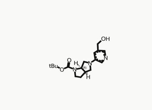 CC(C)(C)OC(=O)N1CC[C@@H]2CN(c3cncc(CO)c3)C[C@@H]21